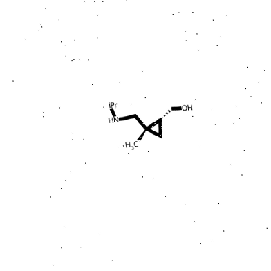 CC(C)NC[C@@]1(C)C[C@H]1CO